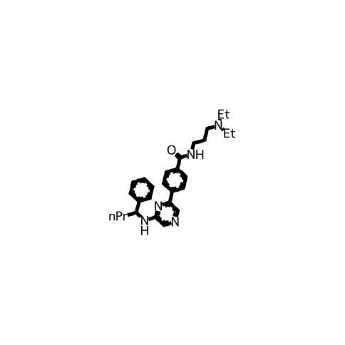 CCCC(Nc1cncc(-c2ccc(C(=O)NCCCN(CC)CC)cc2)n1)c1ccccc1